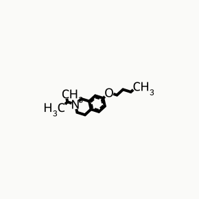 CCCCOc1ccc2c(c1)CN(C(C)C)CC2